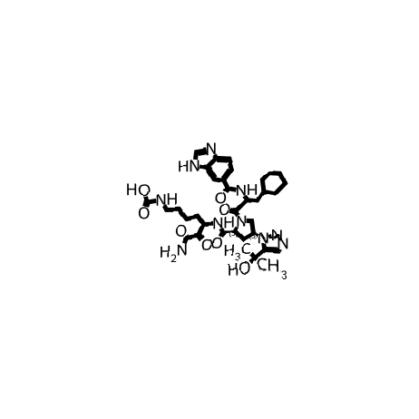 CC(C)(O)c1cnnn1[C@H]1C[C@@H](C(=O)NC(CCCCNC(=O)O)C(=O)C(N)=O)N(C(=O)C(CC2CCCCC2)NC(=O)c2ccc3nc[nH]c3c2)C1